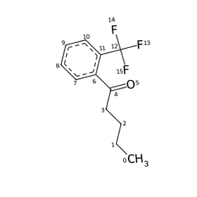 CCCCC(=O)c1ccccc1C(F)(F)F